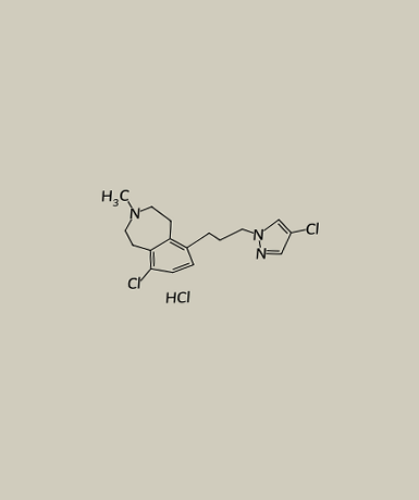 CN1CCc2c(Cl)ccc(CCCn3cc(Cl)cn3)c2CC1.Cl